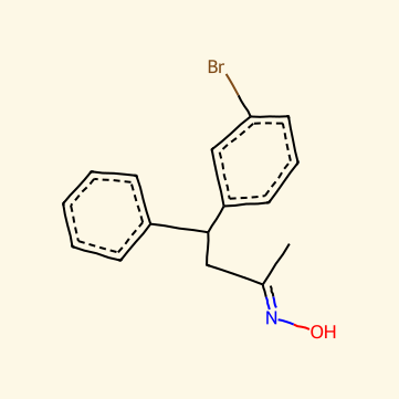 C/C(CC(c1ccccc1)c1cccc(Br)c1)=N\O